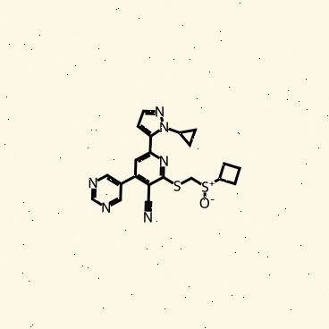 N#Cc1c(-c2cncnc2)cc(-c2ccnn2C2CC2)nc1SC[S+]([O-])C1CCC1